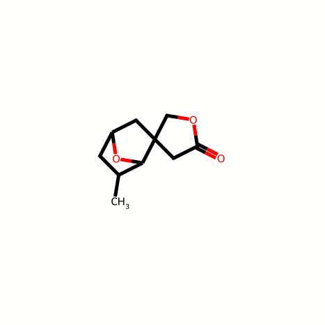 CC1CC2CC3(COC(=O)C3)C1O2